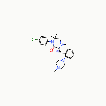 CN1CCN(c2ccccc2/C=C2/C(=O)N(c3ccc(Cl)cc3)C(C)(C)CN2C)CC1